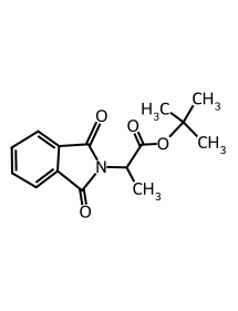 CC(C(=O)OC(C)(C)C)N1C(=O)c2ccccc2C1=O